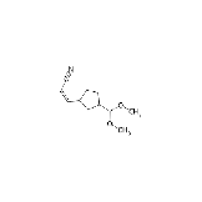 COC(OC)C1CCC(/C=C\C#N)C1